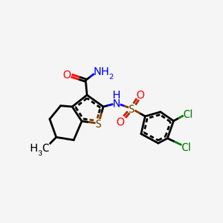 CC1CCc2c(sc(NS(=O)(=O)c3ccc(Cl)c(Cl)c3)c2C(N)=O)C1